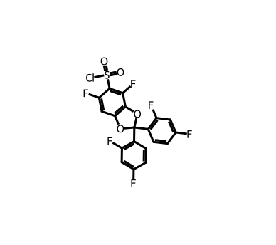 O=S(=O)(Cl)c1c(F)cc2c(c1F)OC(c1ccc(F)cc1F)(c1ccc(F)cc1F)O2